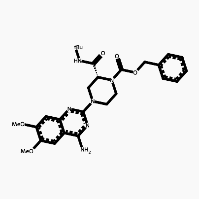 COc1cc2nc(N3CCN(C(=O)OCc4ccccc4)[C@@H](C(=O)NC(C)(C)C)C3)nc(N)c2cc1OC